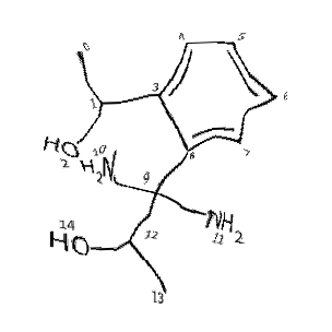 CC(O)c1ccccc1C(N)(N)C(C)O